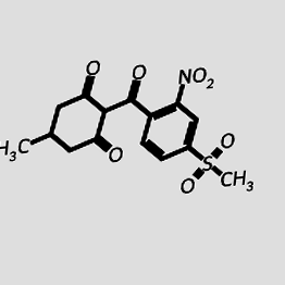 CC1CC(=O)C(C(=O)c2ccc(S(C)(=O)=O)cc2[N+](=O)[O-])C(=O)C1